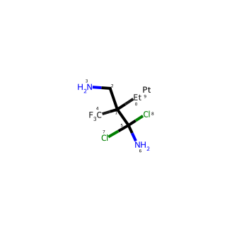 CCC(CN)(C(F)(F)F)C(N)(Cl)Cl.[Pt]